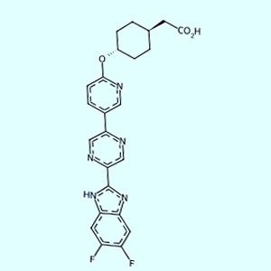 O=C(O)C[C@H]1CC[C@H](Oc2ccc(-c3cnc(-c4nc5cc(F)c(F)cc5[nH]4)cn3)cn2)CC1